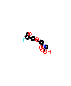 O=C(O)[C@@H]1CCCN1C(=O)c1cccc(COc2ccc(-c3cc(F)cc4ccoc34)cc2)c1